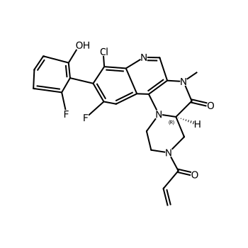 C=CC(=O)N1CCN2c3c(cnc4c(Cl)c(-c5c(O)cccc5F)c(F)cc34)N(C)C(=O)[C@H]2C1